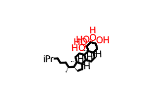 CC(C)CCC[C@@H](C)[C@H]1CC[C@H]2[C@@H]3CC[C@@H]4CC(O)C(O)(O)C(O)(O)[C@]4(C)[C@H]3CC[C@]12C